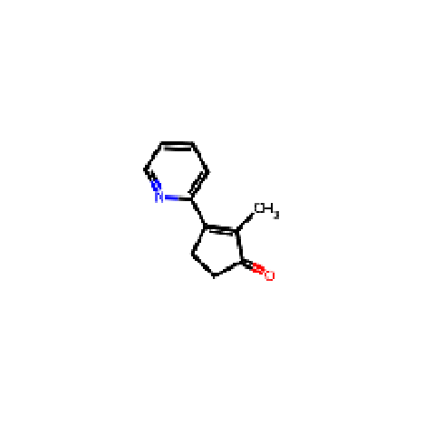 CC1=C(c2ccccn2)CCC1=O